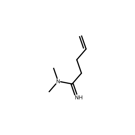 C=CCCC(=N)N(C)C